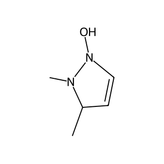 CC1C=CN(O)N1C